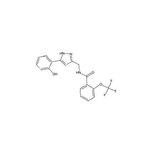 O=C(NCc1cc(-c2ccccc2O)[nH]n1)c1ccccc1OC(F)(F)F